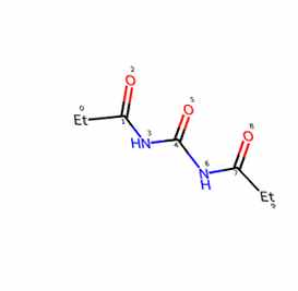 CCC(=O)NC(=O)NC(=O)CC